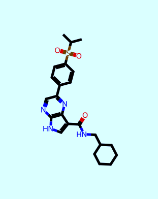 CC(C)S(=O)(=O)c1ccc(-c2cnc3[nH]cc(C(=O)NCC4CCCCC4)c3n2)cc1